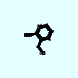 Oc1ncccc1CCl